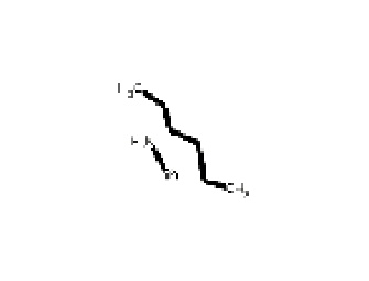 CC(C)N.CCCCCC